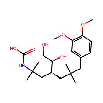 COc1ccc(CC(C)(C)C[C@@H](CC(C)(C)NC(=O)O)[C@H](O)CO)cc1OC